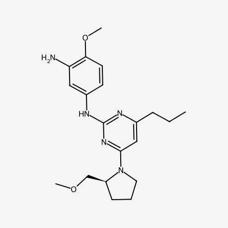 CCCc1cc(N2CCC[C@H]2COC)nc(Nc2ccc(OC)c(N)c2)n1